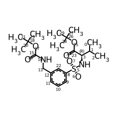 CC(C)[C@@H](NS(=O)(=O)c1cccc(CNC(=O)OC(C)(C)C)c1)C(=O)OC(C)(C)C